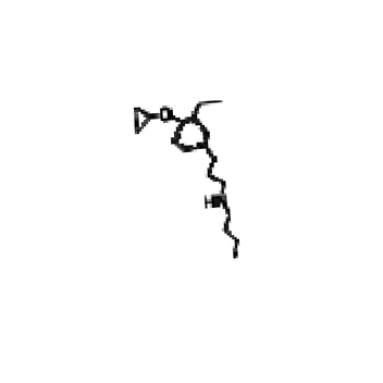 CCCCNCCCc1ccc(OC2CC2)c(CC)c1